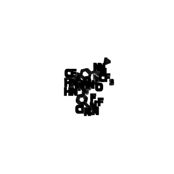 C[C@@H](C(=O)NC[C@H](c1ccc(Cl)c(-c2ncnn2C(F)F)c1)N1C(=N)N[C@](CC(C)(C)C(F)(F)F)(C2(C)C=CC(c3cnn(C4CC4)n3)=CC2)C1=O)C(F)(F)F